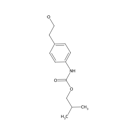 CC(C)COC(=O)Nc1ccc(CC[O])cc1